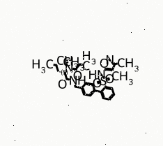 CCC(=O)N(C)[C@@H](CC(C)C)C(=O)NCc1ccc(-c2ccccc2S(=O)(=O)Nc2onc(C)c2C)cc1